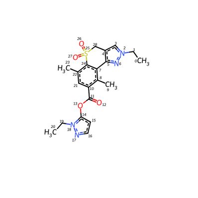 CCn1cc2c(n1)-c1c(C)c(C(=O)Oc3ccnn3CC)cc(C)c1S(=O)(=O)C2